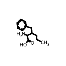 CCCC(Cc1ccccc1)C(N)C(=O)O